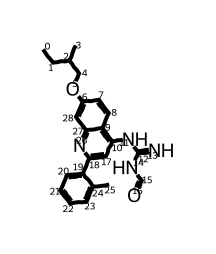 CCC(C)COc1ccc2c(NC(=N)NC=O)cc(-c3ccccc3C)nc2c1